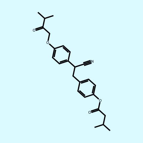 CC(C)CC(=O)Oc1ccc(CC(C#N)c2ccc(OCC(=O)C(C)C)cc2)cc1